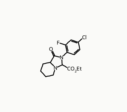 CCOC(=O)C1N(c2ccc(Cl)cc2F)C(=O)C2CCCCN21